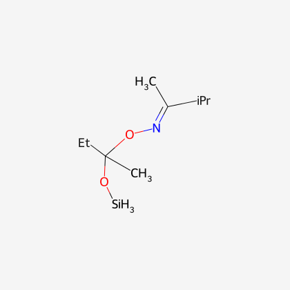 CCC(C)(O[SiH3])ON=C(C)C(C)C